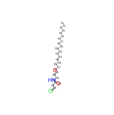 CCCCCCCCCCCCCCCCCCOCCCNC(=O)CCCl